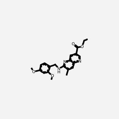 CCOC(=O)c1cnc2cc(C)c(NCc3ccc(OC)cc3OC)nc2c1